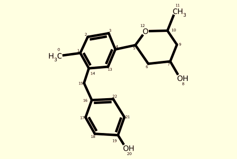 Cc1ccc(C2CC(O)CC(C)O2)cc1Cc1ccc(O)cc1